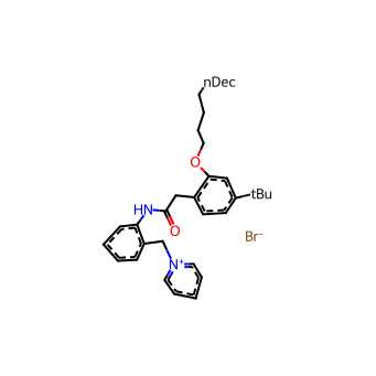 CCCCCCCCCCCCCCOc1cc(C(C)(C)C)ccc1CC(=O)Nc1ccccc1C[n+]1ccccc1.[Br-]